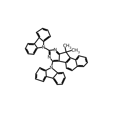 CC1(C)c2nc(-n3c4ccccc4c4ccccc43)nc(-n3c4ccccc4c4ccccc43)c2-c2ccc3ccccc3c21